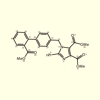 CCCc1nc(C(=O)OC)c(C(=O)OC)n1Cc1ccc(-c2ccccc2C(=O)OC)cc1